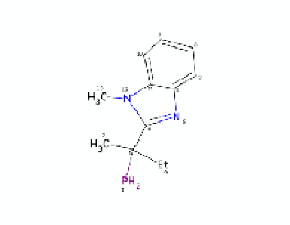 CCC(C)(P)c1nc2ccccc2n1C